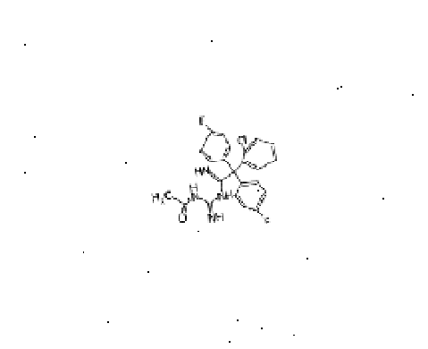 CC(=O)NC(=N)NC(=N)C(c1ccc(F)cc1)(c1ccc(F)cc1)c1ccccc1Cl